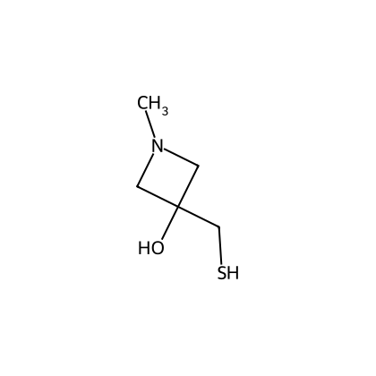 CN1CC(O)(CS)C1